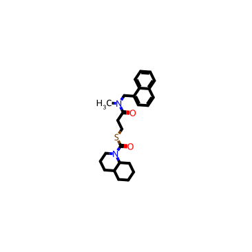 CN(Cc1cccc2ccccc12)C(=O)CCSC(=O)N1CCCC2CCCCC21